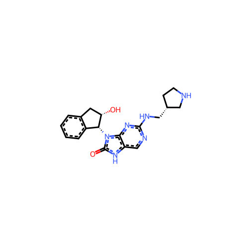 O=c1[nH]c2cnc(NC[C@@H]3CCNC3)nc2n1[C@@H]1c2ccccc2C[C@@H]1O